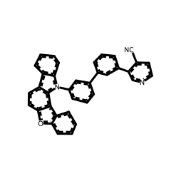 N#Cc1ccncc1-c1cccc(-c2cccc(-n3c4ccccc4c4ccc5oc6ccccc6c5c43)c2)c1